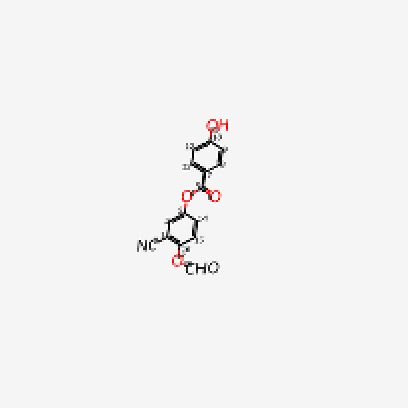 N#Cc1cc(OC(=O)c2ccc(O)cc2)ccc1OC=O